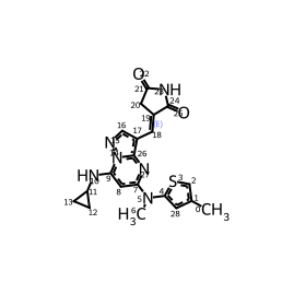 Cc1csc(N(C)c2cc(NC3CC3)n3ncc(/C=C4\CC(=O)NC4=O)c3n2)c1